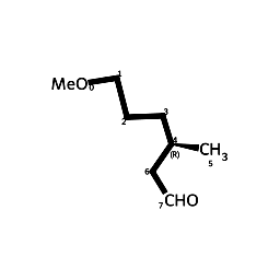 COCCC[C@@H](C)CC=O